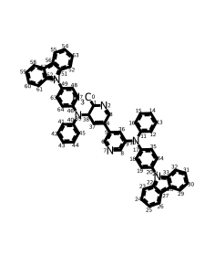 CC1N=CC(c2cncc(N(c3ccccc3)c3ccc(-n4c5ccccc5c5ccccc54)cc3)c2)=CC1N(c1ccccc1)c1ccc(-n2c3ccccc3c3ccccc32)cc1